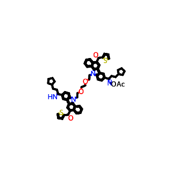 CC(=O)O/N=C(\CCC1CCCC1)c1ccc2c(c1)c1cc(C(=O)c3cccs3)c3ccccc3c1n2CCOCCOCCn1c2ccc(C(=N)CCC3CCCC3)cc2c2cc(C(=O)c3cccs3)c3ccccc3c21